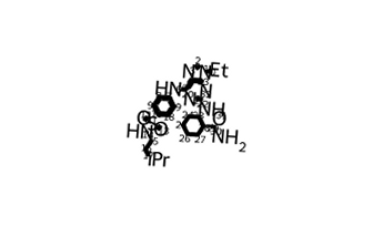 CCn1cnc2c(Nc3ccc(S(=O)(=O)NCCC(C)C)cc3)nc(N[C@@H]3CCCC[C@@H]3C(N)=O)nc21